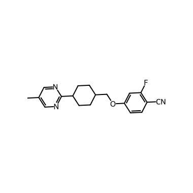 Cc1cnc(C2CCC(COc3ccc(C#N)c(F)c3)CC2)nc1